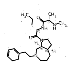 CCC[C@H](NC(=O)[C@H](C)NC)C(=O)N1CC[C@H]2CCCN(CCC3=CC=CCC3)C[C@H]21